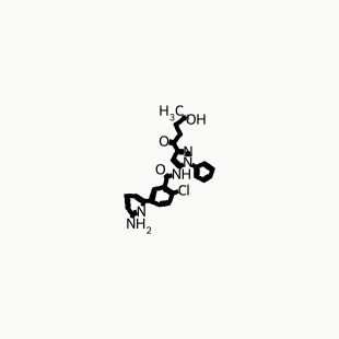 C[C@H](O)CCC(=O)c1cc(NC(=O)c2cc(-c3cccc(N)n3)ccc2Cl)n(-c2ccccc2)n1